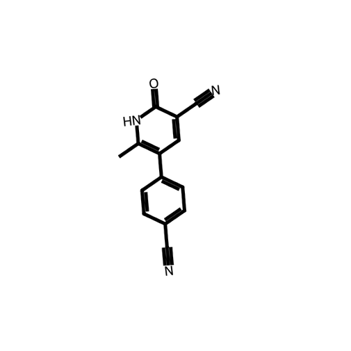 Cc1[nH]c(=O)c(C#N)cc1-c1ccc(C#N)cc1